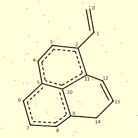 [CH]=Cc1ccc2cccc3c2c1C=CC3